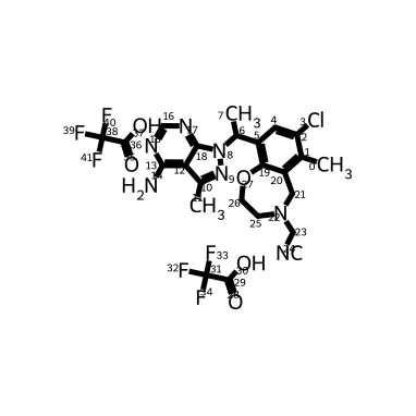 Cc1c(Cl)cc(C(C)n2nc(C)c3c(N)ncnc32)c2c1CN(CC#N)CCO2.O=C(O)C(F)(F)F.O=C(O)C(F)(F)F